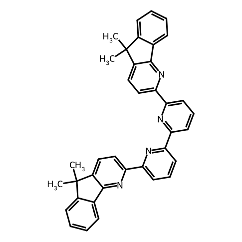 CC1(C)c2ccccc2-c2nc(-c3cccc(-c4cccc(-c5ccc6c(n5)-c5ccccc5C6(C)C)n4)n3)ccc21